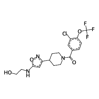 O=C(c1ccc(OC(F)(F)F)c(Cl)c1)N1CCC(c2cc(NCCO)on2)CC1